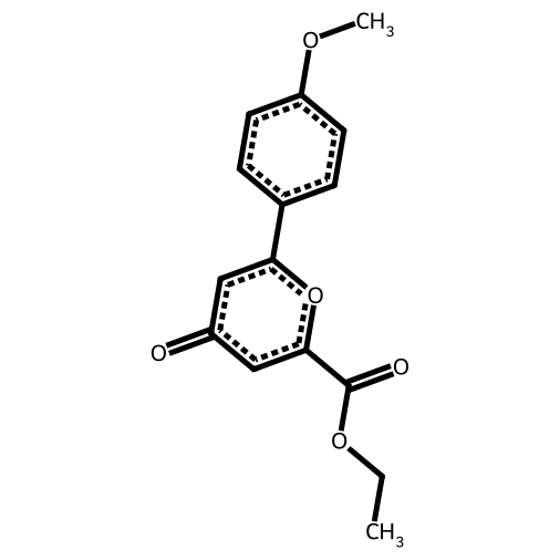 CCOC(=O)c1cc(=O)cc(-c2ccc(OC)cc2)o1